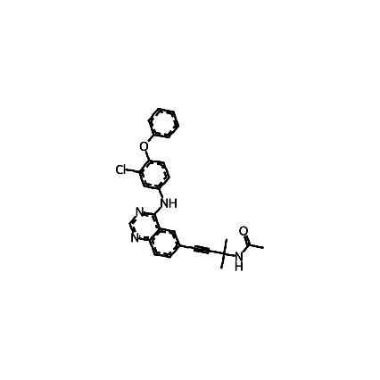 CC(=O)NC(C)(C)C#Cc1ccc2ncnc(Nc3ccc(Oc4ccccc4)c(Cl)c3)c2c1